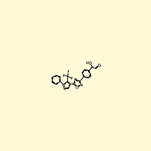 O=CC(O)c1ccc(-c2noc(-c3cnn(-c4ccccc4)c3C(F)(F)F)n2)cc1